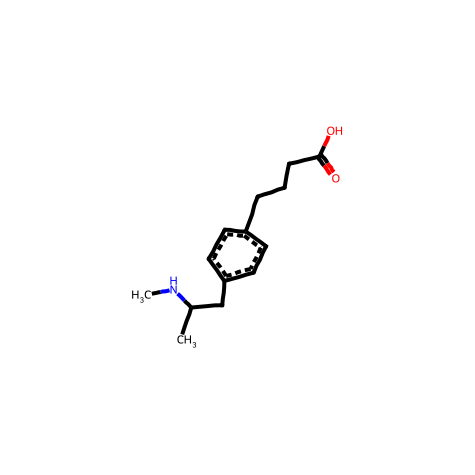 CNC(C)Cc1ccc(CCCC(=O)O)cc1